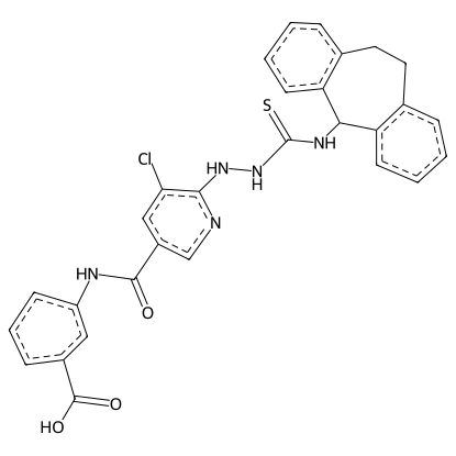 O=C(O)c1cccc(NC(=O)c2cnc(NNC(=S)NC3c4ccccc4CCc4ccccc43)c(Cl)c2)c1